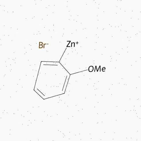 COc1cccc[c]1[Zn+].[Br-]